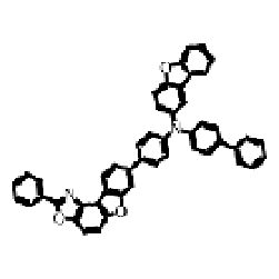 c1ccc(-c2ccc(N(c3ccc(-c4ccc5c(c4)oc4ccc6oc(-c7ccccc7)nc6c45)cc3)c3ccc4oc5ccccc5c4c3)cc2)cc1